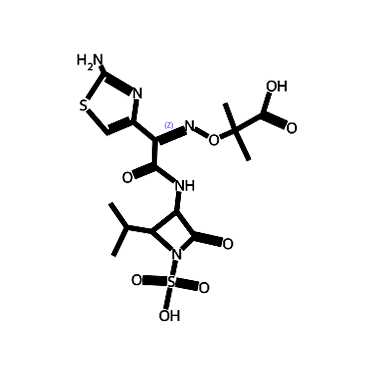 CC(C)C1C(NC(=O)/C(=N\OC(C)(C)C(=O)O)c2csc(N)n2)C(=O)N1S(=O)(=O)O